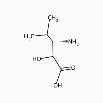 CC(C)[C@H](N)C(O)C(=O)O